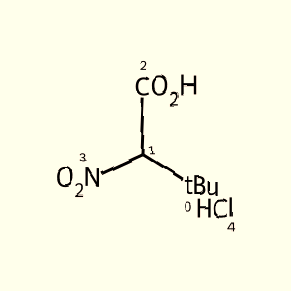 CC(C)(C)C(C(=O)O)[N+](=O)[O-].Cl